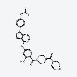 Cc1cc(Nc2nccn3c(-c4ccc(OC(F)F)cc4)cnc23)ccc1C(=O)N1CCN(C(=O)C2C=CNCC2)CC1